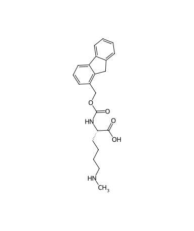 CNCCCC[C@H](NC(=O)OCc1cccc2c1Cc1ccccc1-2)C(=O)O